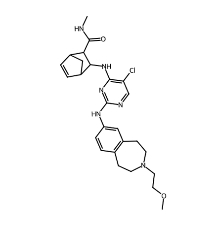 CNC(=O)C1C2C=CC(C2)C1Nc1nc(Nc2ccc3c(c2)CCN(CCOC)CC3)ncc1Cl